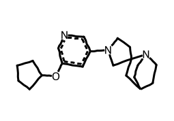 c1ncc(N2CCC3(CC4CCN3CC4)C2)cc1OC1CCCC1